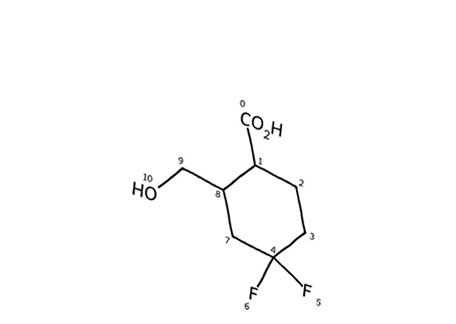 O=C(O)C1CCC(F)(F)CC1CO